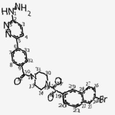 NNc1ccc(-c2ccc(C(=O)N3CCN(S(=O)(=O)c4ccc5cc(Br)ccc5c4)CC3)cc2)nn1